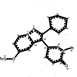 CC(=O)OOc1ccn2nc(-c3ccccc3)c(-c3ccc(=O)n(C(C)C)n3)c2c1